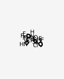 C[C@@]1(Oc2cc(NS(=O)(=O)c3cc(-c4ccccc4C(F)(F)F)c(Cl)s3)ccc2C(F)(F)F)CCNC1